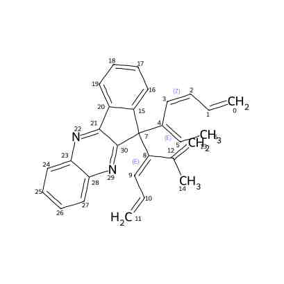 C=C/C=C\C(=C/C)C1(/C(=C/C=C)C(=C)C)c2ccccc2-c2nc3ccccc3nc21